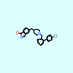 O=C1N=Cc2cc(CC3CCN(Cc4ccccc4-c4ccc(Cl)cc4)CC3)ccc21